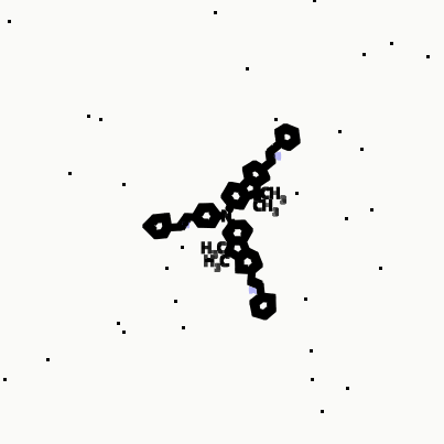 CC1(C)c2cc(/C=C/c3ccccc3)ccc2-c2ccc(N(c3ccc(/C=C/c4ccccc4)cc3)c3ccc4c(c3)C(C)(C)c3cc(/C=C/c5ccccc5)ccc3-4)cc21